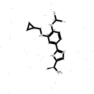 C[C@H](N)c1cnc(-c2ccc(OC(F)F)c(OCC3CC3)c2)o1